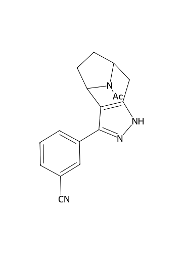 CC(=O)N1C2CCC1c1c(-c3cccc(C#N)c3)n[nH]c1C2